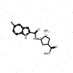 COC(=O)C1C[C@@H](N)[C@H](NC(=O)c2cc3cc(C)ccc3[nH]2)C1